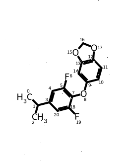 CC(C)c1cc(F)c(Oc2ccc3c(c2)OCO3)c(F)c1